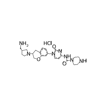 Cl.NC[C@@H]1CCN(C2COc3cc(-n4ccc(NC(=O)N5CCNCC5)nc4=O)ccc3C2)C1